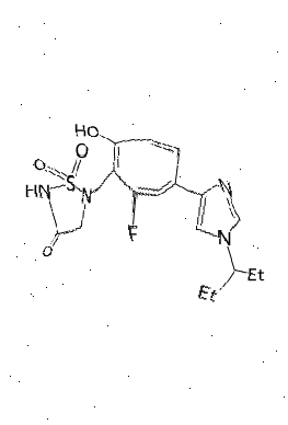 CCC(CC)n1cnc(-c2ccc(O)c(N3CC(=O)NS3(=O)=O)c2F)c1